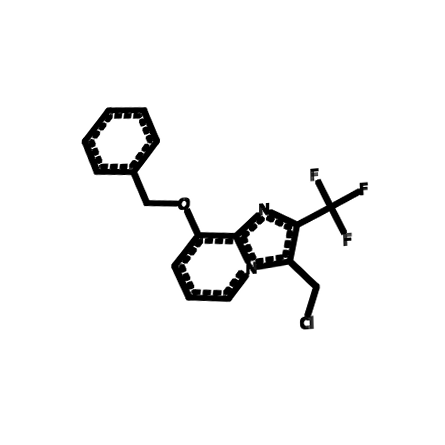 FC(F)(F)c1nc2c(OCc3ccccc3)cccn2c1CCl